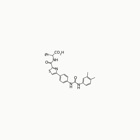 Cc1ccc(NC(=O)Nc2ccc(-c3csc(C(=O)NC(C(=O)O)C(C)C)n3)cc2)cc1C